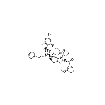 CCc1cc(F)c(NC(=O)Nc2ccc3c(c2)N(C2(N4CCCC(NC(=O)CCCc5ccccc5)C4)[N]CCC2NC(=O)C2CC4(O)CCC2C4)CC3)c(F)c1